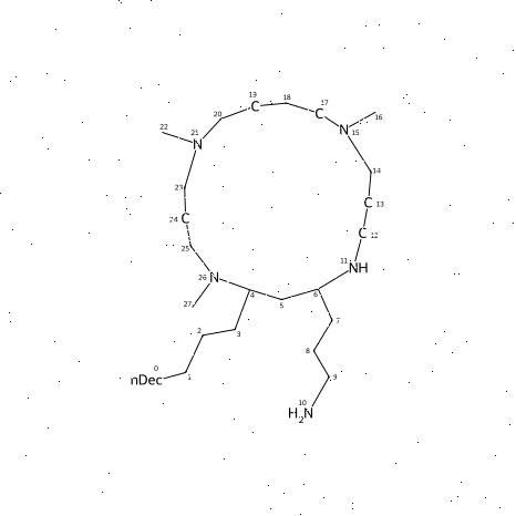 CCCCCCCCCCCCCC1CC(CCCN)NCCCN(C)CCCCN(C)CCCN1C